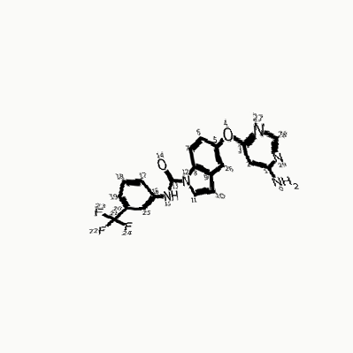 Nc1cc(Oc2ccc3c(ccn3C(=O)Nc3cccc(C(F)(F)F)c3)c2)ncn1